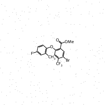 COC(=O)c1cc(Br)c(C(F)(F)F)cc1Oc1ccc(F)cc1C